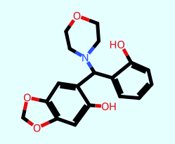 Oc1ccccc1C(c1cc2c(cc1O)OCO2)N1CCOCC1